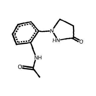 CC(=O)Nc1ccccc1N1CCC(=O)N1